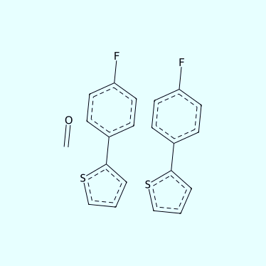 C=O.Fc1ccc(-c2cccs2)cc1.Fc1ccc(-c2cccs2)cc1